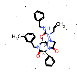 C=CCN(C(=O)NCc1ccccc1)N1CC(=O)N2[C@@H](c3ccccc3)C(=O)N(Cc3cccc(C)c3)C[C@@H]21